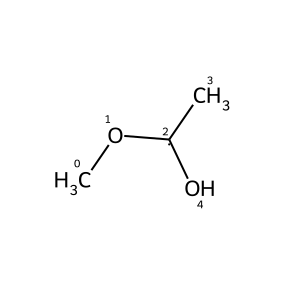 CO[C](C)O